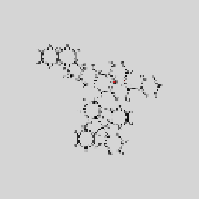 c1ccc(-c2ccc(N(c3ccc4c(c3)C(c3ccccc3)(c3ccccc3)c3ccccc3-4)c3cc4oc5c6ccccc6ccc5c4cc3-c3ccccc3)cc2)cc1